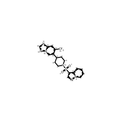 O=S(=O)(c1cnn2ccccc12)N1CCC(c2cn3ncnc3cc2C(F)(F)F)CC1